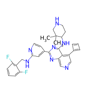 CC1(C)CNCCC1Nc1nc(-c2ccnc(NCc3c(F)cccc3F)c2)nc2cncc(C3=CC=C3)c12